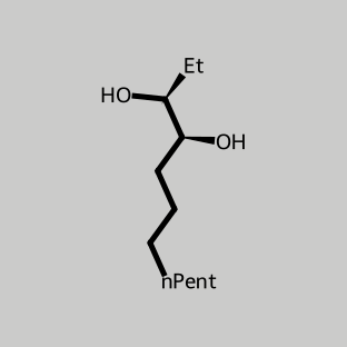 CCCCCCCC[C@H](O)[C@@H](O)CC